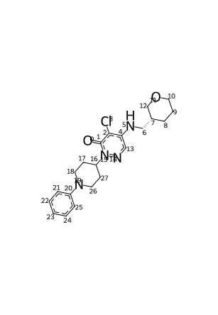 O=c1c(Cl)c(NC[C@H]2CCCOC2)cnn1C1CCN(c2ccccc2)CC1